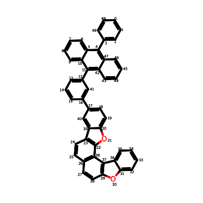 c1ccc(-c2c3ccccc3c(-c3cccc(-c4ccc5oc6c(ccc7ccc8oc9ccccc9c8c76)c5c4)c3)c3ccccc23)cc1